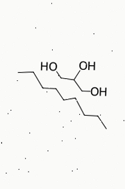 CCCCCCCCC.OCC(O)CO